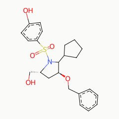 O=S(=O)(c1ccc(O)cc1)N1C(C2CCCC2)[C@@H](OCc2ccccc2)C[C@@H]1CO